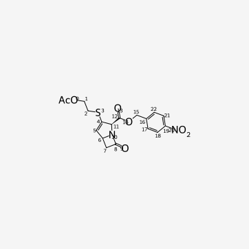 CC(=O)OCCSC1=CC2CC(=O)N2[C@@H]1C(=O)OCc1ccc([N+](=O)[O-])cc1